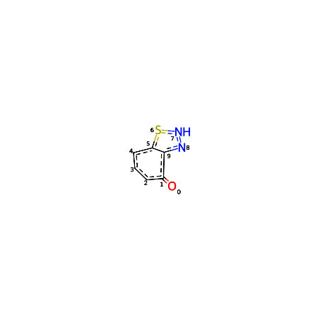 O=c1cccc2s[nH]nc1-2